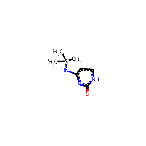 C[Si](C)(C)Nc1cc[nH]c(=O)n1